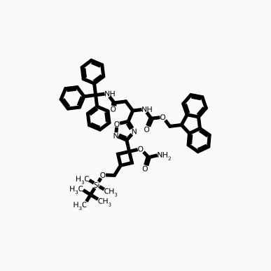 CC(C)(C)[Si](C)(C)OCC1CC(OC(N)=O)(c2noc(C(CC(=O)NC(c3ccccc3)(c3ccccc3)c3ccccc3)NC(=O)OCC3c4ccccc4-c4ccccc43)n2)C1